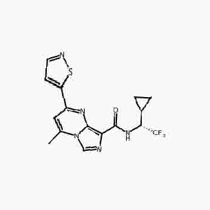 Cc1cc(-c2ccns2)nc2c(C(=O)N[C@H](C3CC3)C(F)(F)F)ncn12